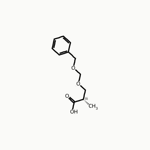 C[C@@H](COCOCc1ccccc1)C(=O)O